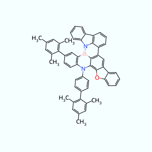 Cc1cc(C)c(-c2ccc(N3c4ccc(-c5c(C)cc(C)cc5C)cc4B4c5c(cc6c(oc7ccccc76)c53)-c3cccc5c6ccccc6n4c35)cc2)c(C)c1